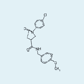 COc1ccc(CNC(=O)C2CC(=O)N(c3ccc(Cl)cc3)C2)cc1